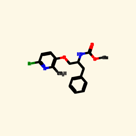 CC(C)(C)OC(=O)NC(COc1ccc(Br)nc1C(=O)O)Cc1ccccc1